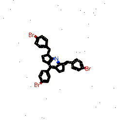 Brc1ccc(/C=C2\CCc3c2nc2c(c3-c3ccc(Br)cc3)CCC2Cc2ccc(Br)cc2)cc1